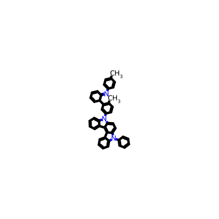 Cc1ccc(/N=C2\C=CC=CC2c2cc(-n3c4ccccc4c4c5c6ccccc6n(-c6ccccc6)c5ccc43)ccc2C)cc1